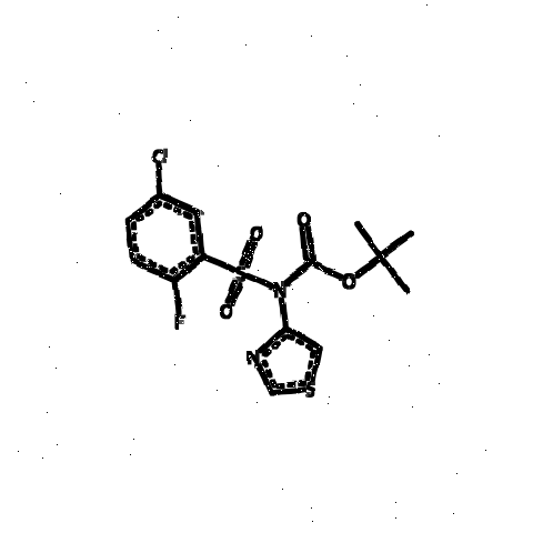 CC(C)(C)OC(=O)N(c1cscn1)S(=O)(=O)c1[c]c(Cl)ccc1F